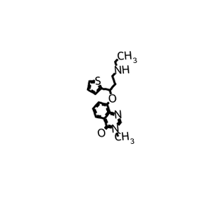 CCNCCC(Oc1cccc2c(=O)n(C)cnc12)c1cccs1